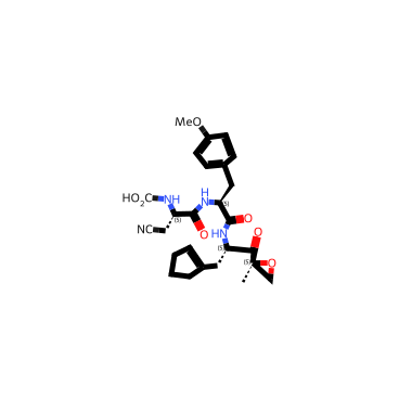 COc1ccc(C[C@H](NC(=O)[C@H](CC#N)NC(=O)O)C(=O)N[C@@H](CC2=CCCC2)C(=O)[C@]2(C)CO2)cc1